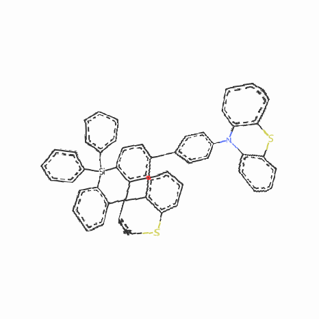 c1ccc([Si]2(c3ccccc3)c3ccccc3C3(c4ccccc4Sc4ccccc43)c3cc(-c4ccc(N5c6ccccc6Sc6ccccc65)cc4)ccc32)cc1